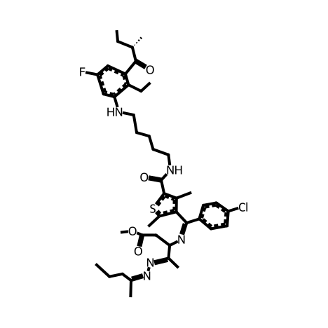 CCC/C(C)=N\N=C(/C)C(CC(=O)OC)/N=C(/c1ccc(Cl)cc1)c1c(C)sc(C(=O)NCCCCCNc2cc(F)cc(C(=O)[C@@H](C)CC)c2CC)c1C